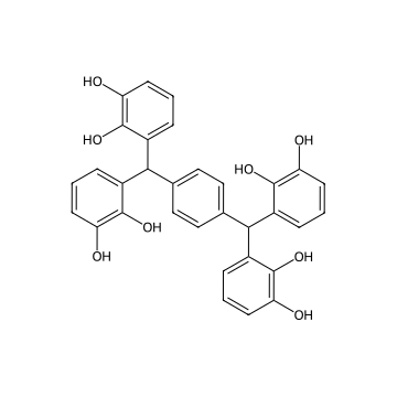 Oc1cccc(C(c2ccc(C(c3cccc(O)c3O)c3cccc(O)c3O)cc2)c2cccc(O)c2O)c1O